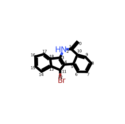 C=C1NC2=C(c3ccccc31)C(Br)c1ccccc12